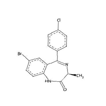 C[C@@H]1N=C(c2ccc(Cl)cc2)c2cc(Br)ccc2NC1=O